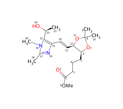 COC(=O)CCC[C@@H]1OC(C)(C)O[C@@H]1/C=C/c1nc(C)n(C)c1[C@H](C)O